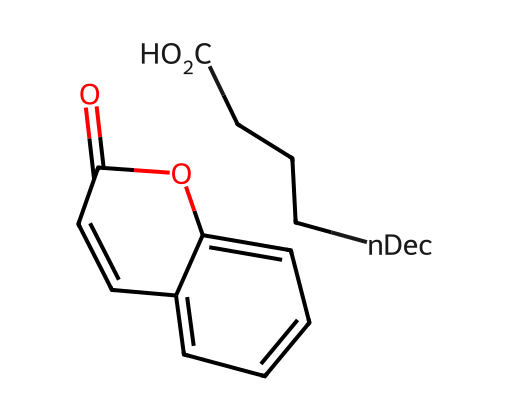 CCCCCCCCCCCCCC(=O)O.O=c1ccc2ccccc2o1